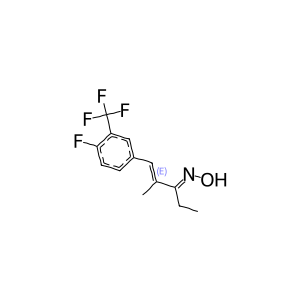 CCC(=NO)/C(C)=C/c1ccc(F)c(C(F)(F)F)c1